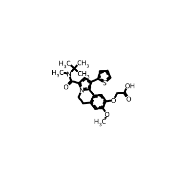 COc1cc2c(cc1OCC(=O)O)-c1c(-c3cccs3)cc(C(=O)N(C)C(C)(C)C)n1CC2